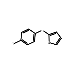 Clc1ccc(Sc2c[c]cs2)cc1